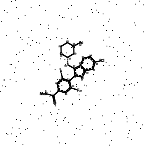 CNC(=O)c1cc(F)c(-c2nc3cc(Cl)ccn3c2C[C@H]2CN(C(C)=O)CCO2)c(F)c1